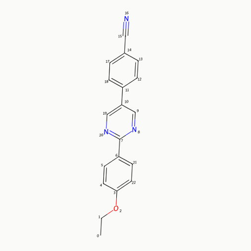 CCOc1ccc(-c2ncc(-c3ccc(C#N)cc3)cn2)cc1